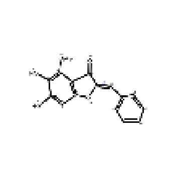 COc1c(O)c(O)cc2c1C(=O)/C(=C/c1ccccc1)O2